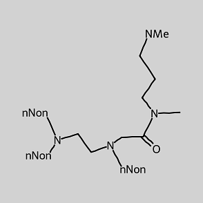 CCCCCCCCCN(CCCCCCCCC)CCN(CCCCCCCCC)CC(=O)N(C)CCCNC